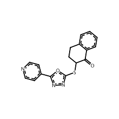 O=C1c2ccccc2CCC1Sc1nnc(-c2ccncc2)o1